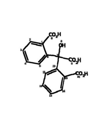 O=C(O)c1ccccc1C(O)(C(=O)O)c1ccccc1C(=O)O